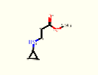 CC(C)(C)OC(=O)CCNC1CC1